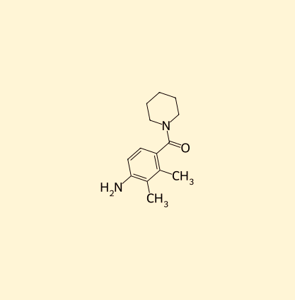 Cc1c(N)ccc(C(=O)N2CCCCC2)c1C